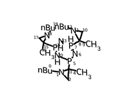 CCCCN1CC1(C)P1N=[PH](C2(C)CN2CCCC)N=[PH](C2(C)CN2CCCC)N1